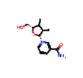 CC1C(C)[C@@H](CO)O[C@H]1[n+]1cccc(C(N)=O)c1